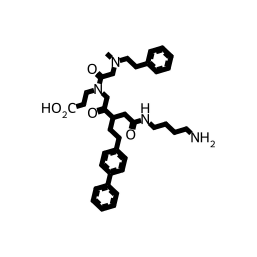 CN(CCc1ccccc1)CC(=O)N(CCC(=O)O)CC(=O)C(CCc1ccc(-c2ccccc2)cc1)CC(=O)NCCCCN